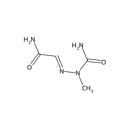 CN(N=CC(N)=O)C(N)=O